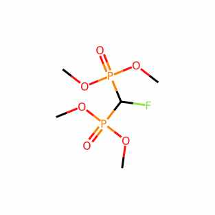 COP(=O)(OC)C(F)P(=O)(OC)OC